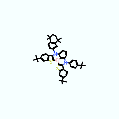 CC(C)(C)c1ccc(N2c3cccc4c3B(c3sc5cc(C(C)(C)C)ccc5c32)c2sc3cc(C(C)(C)C)ccc3c2N4c2ccc3c(c2)C(C)(C)CCC3(C)C)cc1